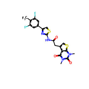 Cn1c(=O)c2c(CC(=O)Nc3nc(-c4cc(F)c(C(F)(F)F)c(F)c4)cs3)csc2n(C)c1=O